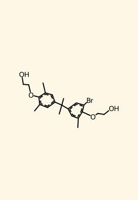 Cc1cc(C(C)(C)c2cc(C)c(OCCO)c(Br)c2)cc(C)c1OCCO